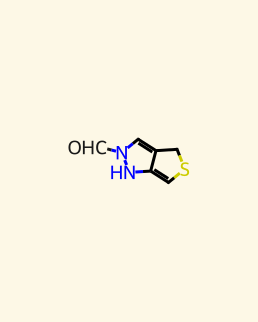 O=CN1C=C2CSC=C2N1